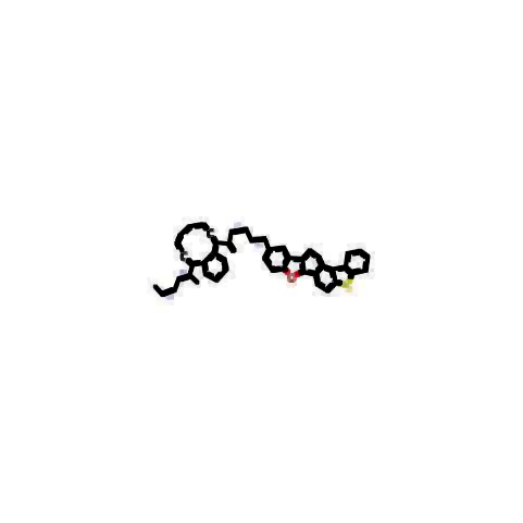 C=C(/C=C\C=C\c1ccc2oc3c(ccc4c3ccc3sc5ccccc5c34)c2c1)c1ccccccc(/C(C)=C/C=C\C)c2ccccc12